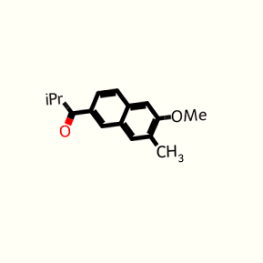 COc1cc2ccc(C(=O)C(C)C)cc2cc1C